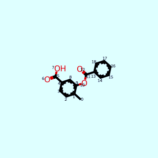 Cc1ccc(C(=O)O)cc1OC(=O)c1ccccc1